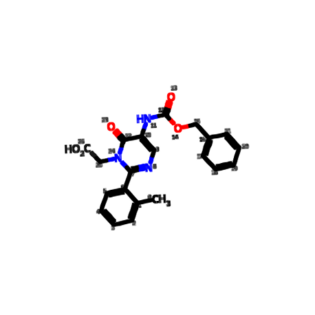 Cc1ccccc1-c1ncc(NC(=O)OCc2ccccc2)c(=O)n1CC(=O)O